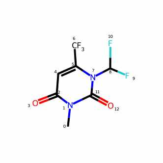 Cn1c(=O)cc(C(F)(F)F)n(C(F)F)c1=O